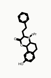 CCCN1C(CCc2ccccc2)C(=O)OC2c3cc(O)ccc3CCC21